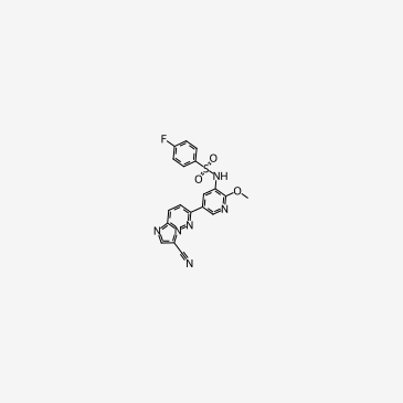 COc1ncc(-c2ccc3ncc(C#N)n3n2)cc1NS(=O)(=O)c1ccc(F)cc1